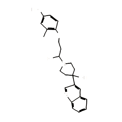 Cc1ccc(OCCC(O)N2CCC(O)(c3cnc4ccccc4c3)CC2)c(C)c1